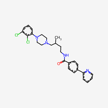 CC(CCNC(=O)c1ccc(-c2ccccn2)cc1)CN1CCN(c2cccc(Cl)c2Cl)CC1